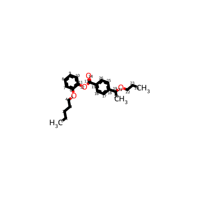 CCCCCOc1ccccc1OC(=O)c1ccc(C(C)OCCC)cc1